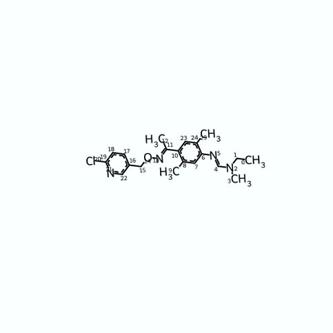 CCN(C)C=Nc1cc(C)c(C(C)=NOCc2ccc(Cl)nc2)cc1C